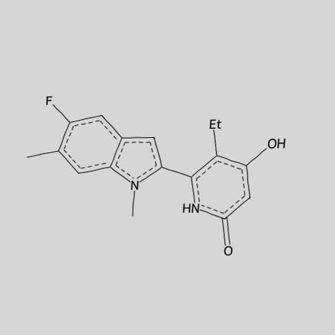 CCc1c(O)cc(=O)[nH]c1-c1cc2cc(F)c(C)cc2n1C